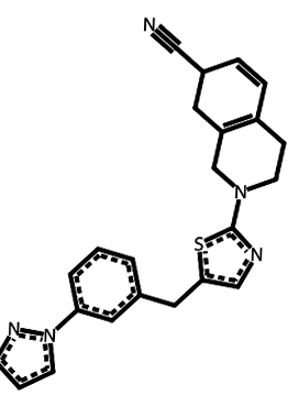 N#CC1C=CC2=C(C1)CN(c1ncc(Cc3cccc(-n4cccn4)c3)s1)CC2